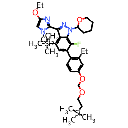 CCOc1cn(C)c(-c2nn(C3CCCCO3)c3c(F)c(-c4ccc(OCOCC[Si](C)(C)C)cc4CC)cc([Si](C)(C)C)c23)n1